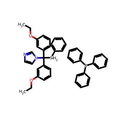 CCOc1cccc(C([SiH2]c2ccccc2)(c2cccc(OCC)c2)n2ccnc2)c1.c1ccc(B(c2ccccc2)c2ccccc2)cc1